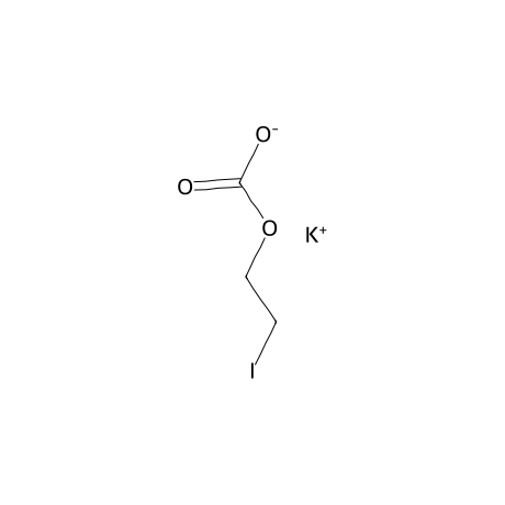 O=C([O-])OCCI.[K+]